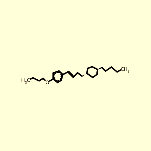 CCCCC[C@H]1CC[C@H](CC/C=C/c2ccc(OCCCC)cc2)CC1